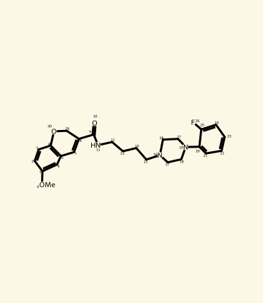 COc1ccc2c(c1)C=C(C(=O)NCCCCN1CCN(c3ccccc3F)CC1)CO2